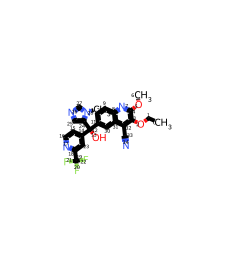 CCOc1c(OC)nc2ccc(C(O)(c3ccnc(C(F)(F)F)c3)c3cncn3C)cc2c1C#N